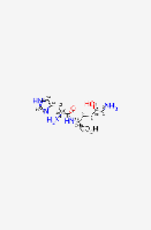 NC[C@H](O)CC[C@H](NC(=O)[C@@H](N)Cc1c[nH]cn1)C(=O)O